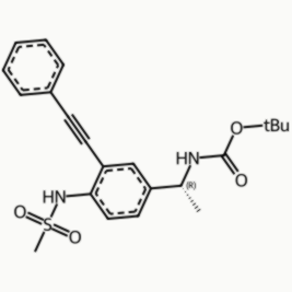 C[C@@H](NC(=O)OC(C)(C)C)c1ccc(NS(C)(=O)=O)c(C#Cc2ccccc2)c1